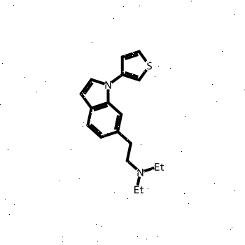 CCN(CC)CCc1ccc2ccn(-c3ccsc3)c2c1